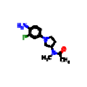 CC(=O)N(C)C1CCN(c2ccc(N)c(F)c2)C1